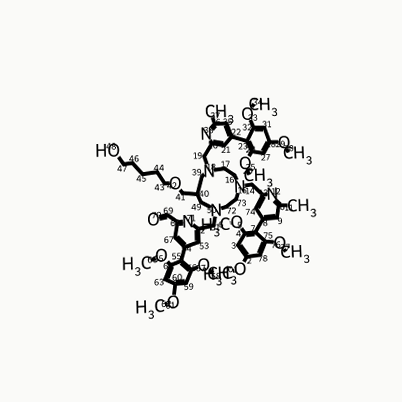 COc1cc(OC)c(-c2cc(C)nc(CN3CCN(Cc4cc(-c5c(OC)cc(OC)cc5OC)cc(C)n4)CC(COCCCCCO)CN(Cc4cc(-c5c(OC)cc(OC)cc5OC)cc(C=O)n4)CC3)c2)c(OC)c1